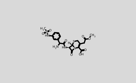 COC(=O)CC1=C(C(=O)O)N2C(=O)[C@@H](NC(=O)C(N)c3cccc(NS(C)(=O)=O)c3)[C@@H]2SC1